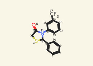 O=C1CSC(c2ccccc2)N1c1cccc(C(F)(F)F)c1